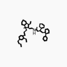 C=C/C=C\c1ccc(/C=C/CC2(C)C(/C=C/N/C(C)=C/C(=C/c3ccccc3-c3ccccc3)C3=CC=CCC3)=C(C=C)c3ccccc32)c(C=C)c1